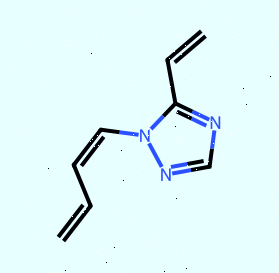 C=C/C=C\n1ncnc1C=C